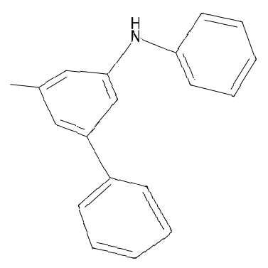 Cc1cc(Nc2ccccc2)cc(-c2ccccc2)c1